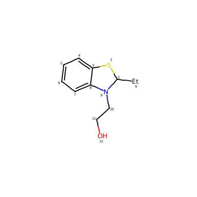 CCC1Sc2ccccc2N1CCO